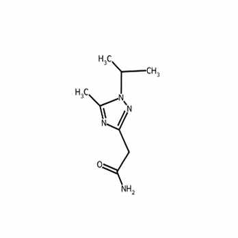 Cc1nc(CC(N)=O)nn1C(C)C